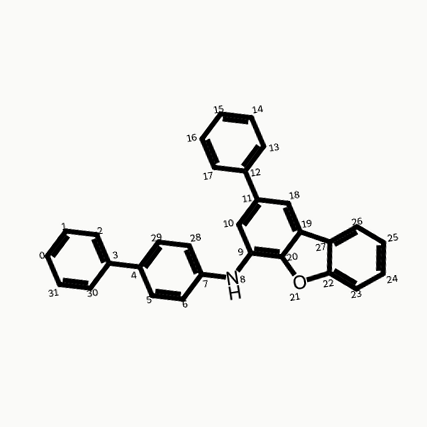 c1ccc(-c2ccc(Nc3cc(-c4ccccc4)cc4c3oc3ccccc34)cc2)cc1